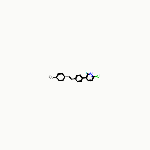 CC[C@H]1CC[C@H](CCc2ccc(-c3ccc(Cl)nc3F)cc2)CC1